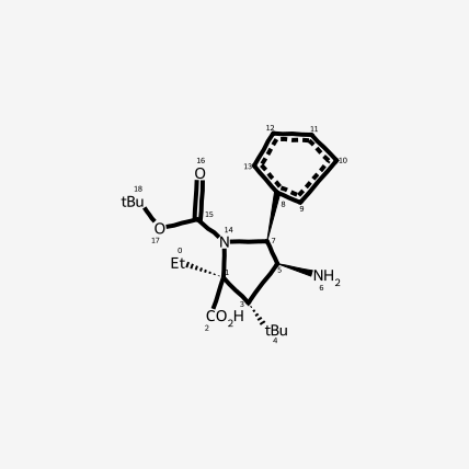 CC[C@@]1(C(=O)O)[C@@H](C(C)(C)C)[C@H](N)[C@H](c2ccccc2)N1C(=O)OC(C)(C)C